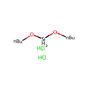 CCCCO[SiH2]OCCCC.Cl.Cl